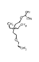 C=CCOCC[N+](CC)(CC)CCOP(O)O